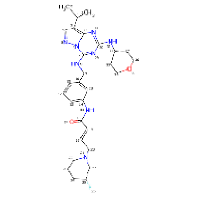 CC(C)c1cnn2c(NCc3cccc(NC(=O)C=CCN4CCCC(F)C4)c3)nc(NC3CCOCC3)nc12